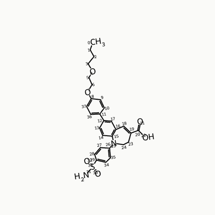 CCCCOCCOc1ccc(-c2ccc3c(c2)C=C(C(=O)O)CCN3c2ccc(S(N)(=O)=O)cc2)cc1